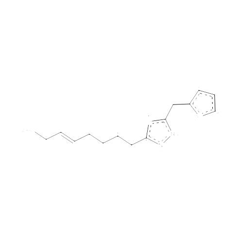 CCCCCCCCCCCC=CCCCCc1nnc(Cc2ccco2)o1